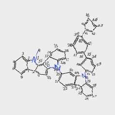 Cn1c2ccccc2c2ccc3c(c4ccccc4n3-c3ccc4c5ccccc5n(-c5cccc(-c6cccc(-c7ccccc7)c6)c5)c4c3)c21